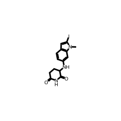 Cn1c(I)cc2ccc(NC3CCC(=O)NC3=O)cc21